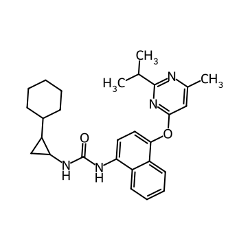 Cc1cc(Oc2ccc(NC(=O)NC3CC3C3CCCCC3)c3ccccc23)nc(C(C)C)n1